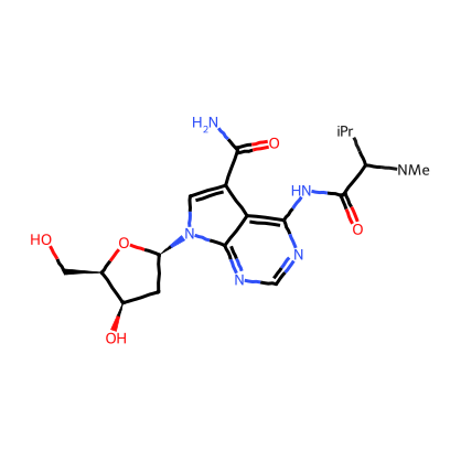 CNC(C(=O)Nc1ncnc2c1c(C(N)=O)cn2[C@H]1C[C@@H](O)[C@@H](CO)O1)C(C)C